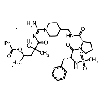 CC(CC(C)(C)C(=O)/N=C(/N)N1CCC(CNC(=O)[C@@H]2CCCN2C(=O)[C@@H](Cc2ccccc2)NS(C)(=O)=O)CC1)OC(=O)C(C)C